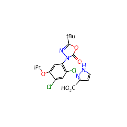 CC(C)Oc1cc(-n2nc(C(C)(C)C)oc2=O)c(Cl)cc1Cl.O=C(O)c1cc[nH]n1